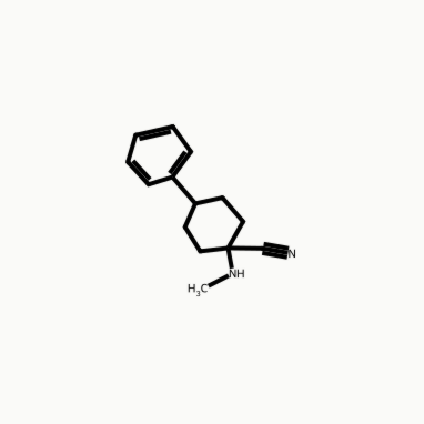 CNC1(C#N)CCC(c2ccccc2)CC1